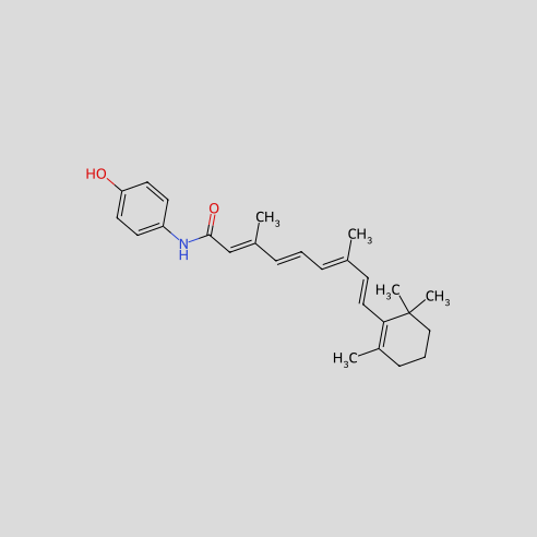 CC(C=CC1=C(C)CCCC1(C)C)=CC=C/C(C)=C/C(=O)Nc1ccc(O)cc1